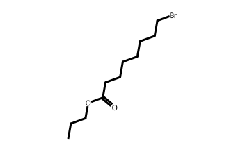 CCCOC(=O)CCCCCCCBr